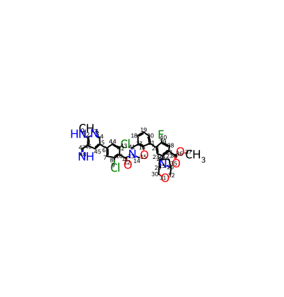 CNc1ncc(-c2cc(Cl)c(C(=O)N3COc4c(cccc4-c4cc(N5C6CCC5COC6)c(C(=O)OC)cc4F)C3)c(Cl)c2)cc1C=N